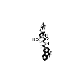 O=C(NCC(=O)N1[C@H]2C[C@@]2(Cn2cncn2)C[C@H]1C(=O)O)c1ccc2c(c1)-c1ccccc1C2(F)F